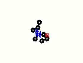 c1ccc(-c2ccc3c(c2)c2ccccc2n3-c2nc(-c3ccccc3)nc(-c3ccc4oc5cccc(-c6ccccc6)c5c4c3)n2)cc1